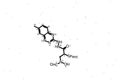 CCCCCC(CN(O)C=O)C(=O)NNc1nnc2cc(C)ccc2n1